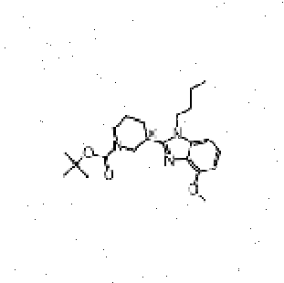 CCCCn1c([C@@H]2CCCN(C(=O)OC(C)(C)C)C2)nc2c(OC)cccc21